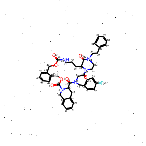 CC(C)(C)OC(=O)N1Cc2ccccc2CC1C(=O)N(CC(=O)N1CCN(CCc2ccccc2)C(=O)C1CCCNC(=O)OCc1ccccc1)Cc1ccc(F)cc1